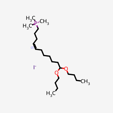 CCCCOC(CCCCC/C=C\CCC[P+](C)(C)C)OCCCC.[I-]